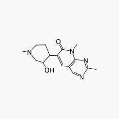 Cc1ncc2cc(C3CCN(C)CC3O)c(=O)n(C)c2n1